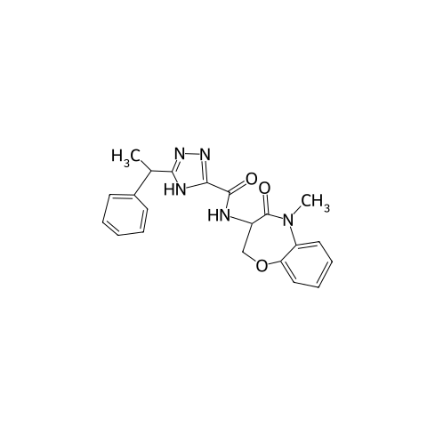 CC(c1ccccc1)c1nnc(C(=O)NC2COc3ccccc3N(C)C2=O)[nH]1